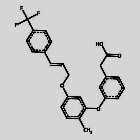 Cc1ccc(OC/C=C/c2ccc(C(F)(F)F)cc2)cc1Oc1cccc(CC(=O)O)c1